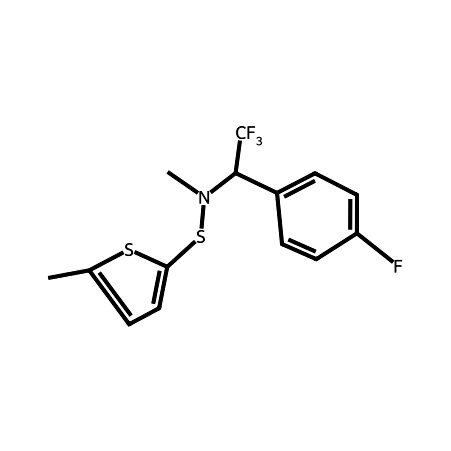 Cc1ccc(SN(C)C(c2ccc(F)cc2)C(F)(F)F)s1